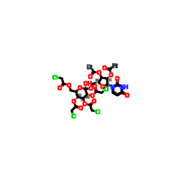 CCC(=O)OC1[C@@H](CO[C@]2(O)OC(COC(=O)CCl)[C@@H](OC(=O)CCl)[C@H](OC(=O)CCl)[C@H]2OC(=O)CCl)O[C@@H](n2ccc(=O)[nH]c2=O)[C@H]1OC(=O)CC